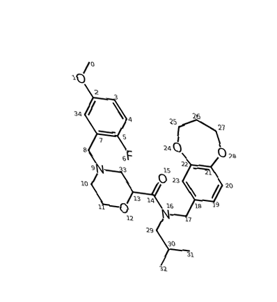 COc1ccc(F)c(CN2CCOC(C(=O)N(Cc3ccc4c(c3)OCCCO4)CC(C)C)C2)c1